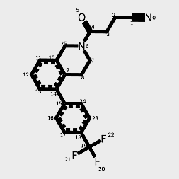 N#CCCC(=O)N1CCc2c(cccc2-c2ccc(C(F)(F)F)cc2)C1